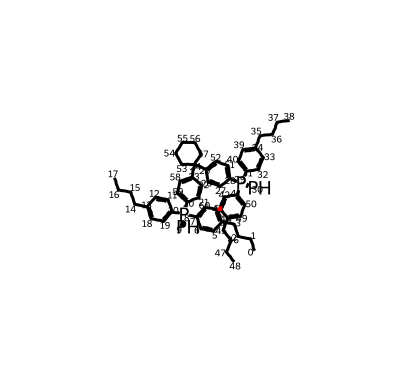 CCCCc1ccc(P(=P)(c2ccc(CCCC)cc2)c2ccc(C3(c4ccc(P(=P)(c5ccc(CCCC)cc5)c5ccc(CCCC)cc5)cc4)CCCCC3)cc2)cc1